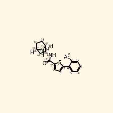 CC(=O)c1ccccc1-c1ccc(C(=O)N[C@@H]2C[C@H]3CC[C@@H]2N3)s1